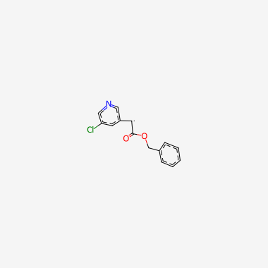 O=C([CH]c1cncc(Cl)c1)OCc1ccccc1